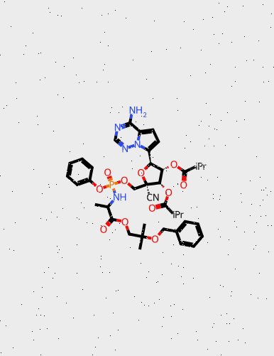 CC(C)C(=O)O[C@H]1[C@H](c2ccc3c(N)ncnn23)O[C@](C#N)(COP(=O)(NC(C)C(=O)OCC(C)(C)OCc2ccccc2)Oc2ccccc2)[C@H]1OC(=O)C(C)C